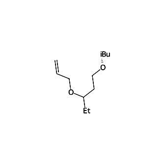 C=CCOC(CC)CCO[C@@H](C)CC